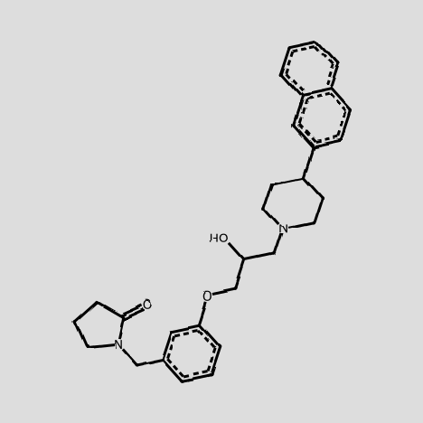 O=C1CCCN1Cc1cccc(OCC(O)CN2CCC(c3ccc4ccccc4c3)CC2)c1